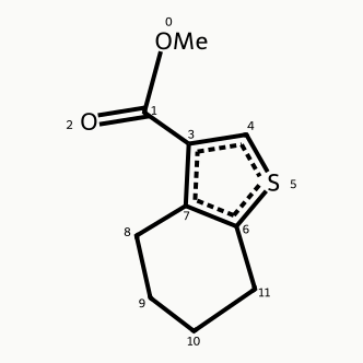 COC(=O)c1csc2c1CCCC2